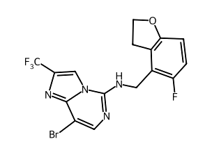 Fc1ccc2c(c1CNc1ncc(Br)c3nc(C(F)(F)F)cn13)CCO2